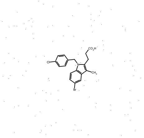 Cc1c(CCC(=O)O)n(Cc2ccc(Cl)cc2)c2ccc(Br)cc12